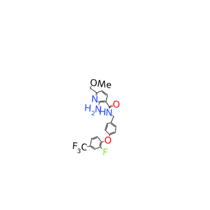 COCc1ccc(C(=O)NCc2ccc(Oc3ccc(C(F)(F)F)cc3F)cc2)c(N)n1